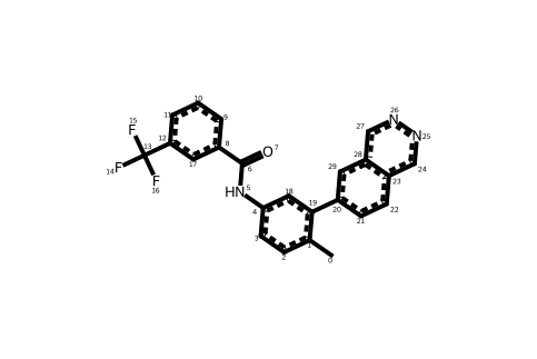 Cc1ccc(NC(=O)c2cccc(C(F)(F)F)c2)cc1-c1ccc2cnncc2c1